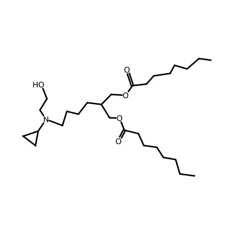 CCCCCCCC(=O)OCC(CCCCN(CCO)C1CC1)COC(=O)CCCCCCC